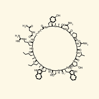 CCCC[C@H]1C(=O)N(C)[C@@H](CCCC)C(=O)N[C@@H](CCCNC(=N)N)C(=O)N[C@H](C(=O)NCC(N)=O)CSCC(=O)N[C@@H](Cc2ccc(O)cc2)C(=O)N(C)[C@@H](C)C(=O)N[C@@H](CC(N)=O)C(=O)N2CCC[C@H]2C(=O)N[C@@H](CC(N)=O)C(=O)N[C@@H](CC(C)C)C(=O)N2C[C@H](O)C[C@H]2C(=O)N[C@@H]([C@@H](C)c2c[nH]c3ccccc23)C(=O)N[C@@H](CO)C(=O)N[C@@H](Cc2c[nH]c3ccccc23)C(=O)N1C